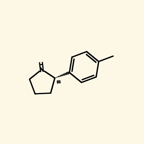 Cc1ccc([C@@H]2CCCN2)cc1